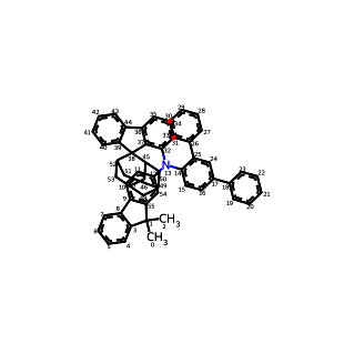 CC1(C)c2ccccc2-c2ccc(N(c3ccc(-c4ccccc4)cc3-c3ccccc3)c3cccc4c3C3(c5ccccc5-4)C4CC5CC(C4)CC3C5)cc21